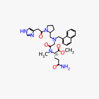 COC(=O)[C@H](CCC(N)=O)N(C)C(=O)CN(Cc1cccc2ccccc12)CC1CCCN1C(=O)Cc1c[nH]cn1